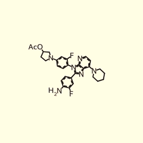 CC(=O)OC1CCN(c2ccc(-n3c(-c4ccc(N)c(F)c4)nc4c(N5CCCCC5)ccnc43)c(F)c2)C1